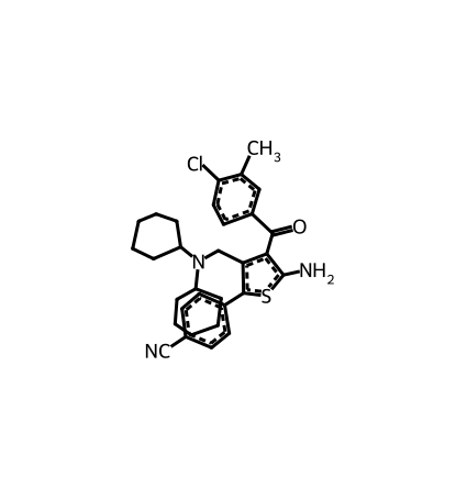 Cc1cc(C(=O)c2c(N)sc(-c3ccc(C#N)cc3)c2CN(C2CCCCC2)C2CCCCC2)ccc1Cl